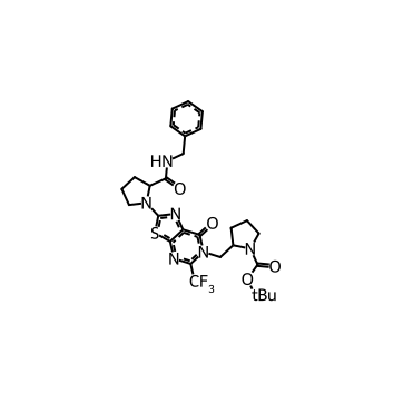 CC(C)(C)OC(=O)N1CCCC1Cn1c(C(F)(F)F)nc2sc(N3CCCC3C(=O)NCc3ccccc3)nc2c1=O